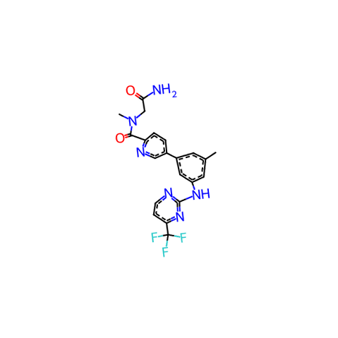 Cc1cc(Nc2nccc(C(F)(F)F)n2)cc(-c2ccc(C(=O)N(C)CC(N)=O)nc2)c1